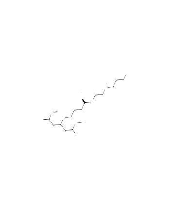 CCC(CC(CC(CC)OO)OCCCC(=O)NCCOCCCC=O)OO